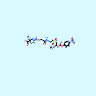 CC(CS(=O)(=O)CCNC(=O)CONNCC(C)(C)C(=O)O)OC(=O)Oc1ccc([N+](=O)[O-])cc1